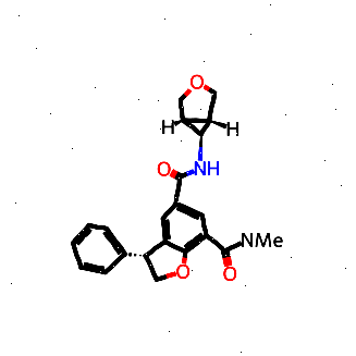 CNC(=O)c1cc(C(=O)N[C@H]2[C@@H]3COC[C@@H]32)cc2c1OC[C@@H]2c1ccccc1